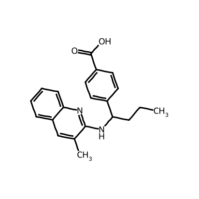 CCCC(Nc1nc2ccccc2cc1C)c1ccc(C(=O)O)cc1